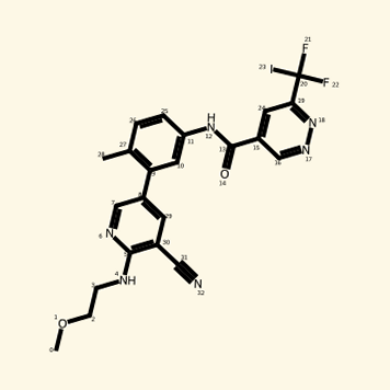 COCCNc1ncc(-c2cc(NC(=O)c3cnnc(C(F)(F)I)c3)ccc2C)cc1C#N